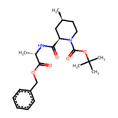 C[C@H]1CCN(C(=O)OC(C)(C)C)[C@@H](C(=O)N[C@@H](C)C(=O)OCc2ccccc2)C1